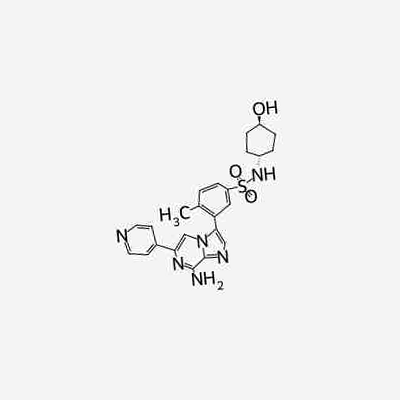 Cc1ccc(S(=O)(=O)N[C@H]2CC[C@H](O)CC2)cc1-c1cnc2c(N)nc(-c3ccncc3)cn12